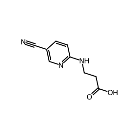 N#Cc1ccc(NCCC(=O)O)nc1